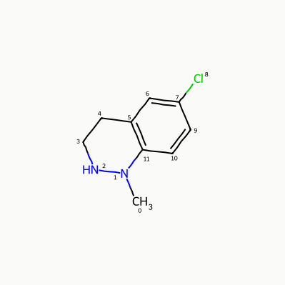 CN1NCCc2cc(Cl)ccc21